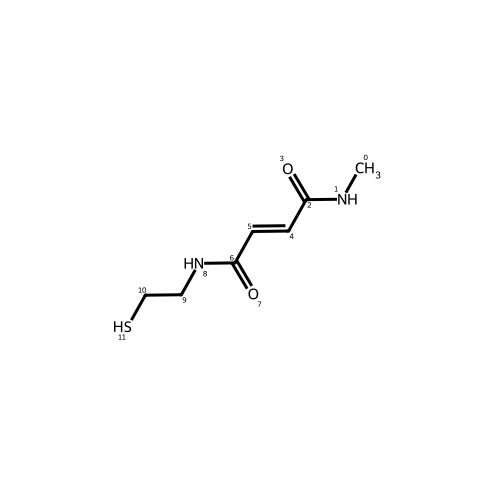 CNC(=O)C=CC(=O)NCCS